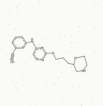 C#Cc1cccc(Nc2ccnc(OCCCC3CNCCO3)n2)c1